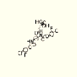 O=C(COc1ccc(Cl)c(F)c1)NC12CCC(NC(=O)COc3ccc(Cl)c(F)c3)(CC1)C(OC(=O)CCCP(=O)(O)O)C2